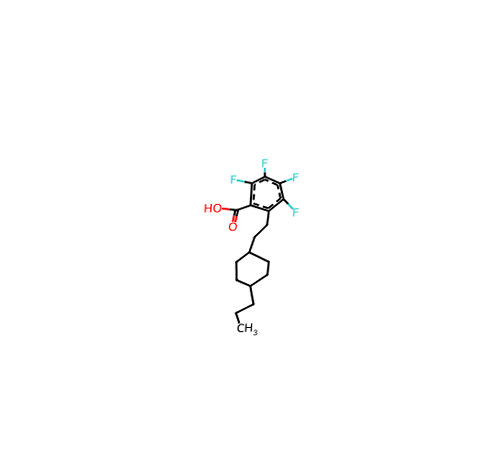 CCCC1CCC(CCc2c(F)c(F)c(F)c(F)c2C(=O)O)CC1